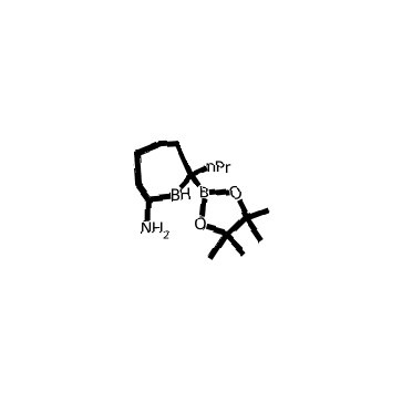 CCCC1(B2OC(C)(C)C(C)(C)O2)BC(N)CCCC1